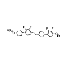 CCCCOC1CC=C(c2ccc(CCC3CCC(c4ccc(OCC)c(F)c4F)CC3)c(F)c2F)CC1